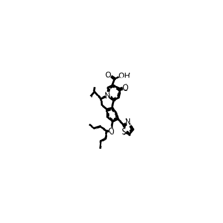 CCCC(CCC)Oc1cc2c(cc1-c1nccs1)-c1cc(=O)c(C(=O)O)cn1C(C(C)C)C2